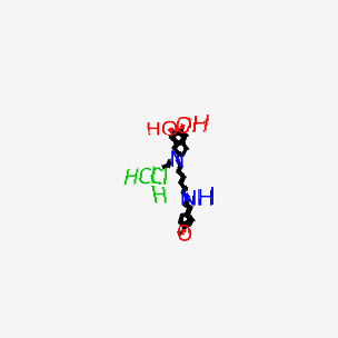 CCCN(CCCCCCNCCc1ccc(OC)cc1)[C@@H]1CCc2cc(O)c(O)cc2C1.Cl.Cl